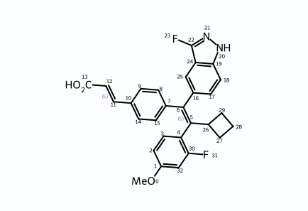 COc1ccc(/C(=C(\c2ccc(/C=C/C(=O)O)cc2)c2ccc3[nH]nc(F)c3c2)C2CCC2)c(F)c1